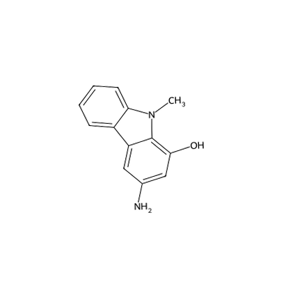 Cn1c2ccccc2c2cc(N)cc(O)c21